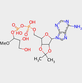 COC(OP(=O)(O)OP(=O)(O)OCC1OC(n2cnc3c(N)ncnc32)C2OC(C)(C)OC12)[C@H](O)CO